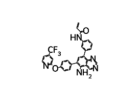 C=CC(=O)Nc1cccc(-c2cc(-c3ccc(Oc4cc(C(F)(F)F)ccn4)cc3)c(N)c3cncnc23)c1